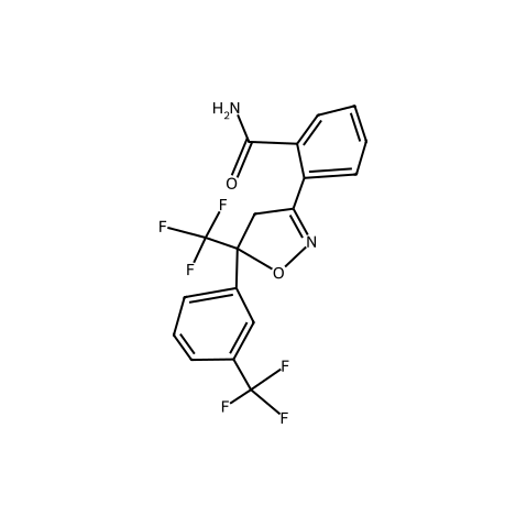 NC(=O)c1ccccc1C1=NOC(c2cccc(C(F)(F)F)c2)(C(F)(F)F)C1